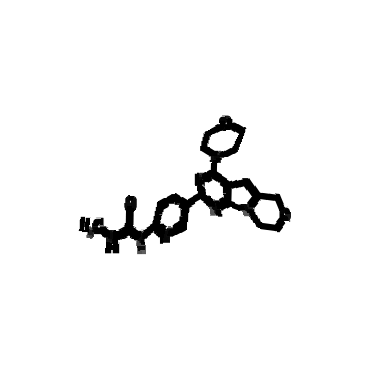 CNC(=O)Nc1ccc(-c2nc(N3CCOCC3)c3c(n2)N2CCOCC2C3)cn1